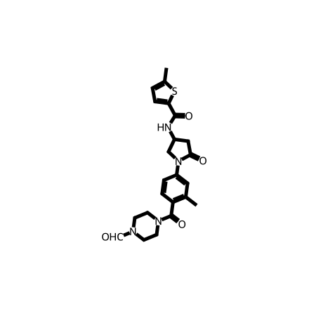 Cc1ccc(C(=O)NC2CC(=O)N(c3ccc(C(=O)N4CCN(C=O)CC4)c(C)c3)C2)s1